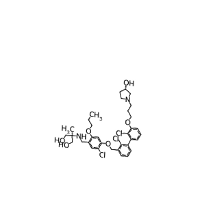 CCCOc1cc(OCc2cccc(-c3cccc(OCCCN4CC[C@@H](O)C4)c3Cl)c2Cl)c(Cl)cc1CNC(C)(CO)CO